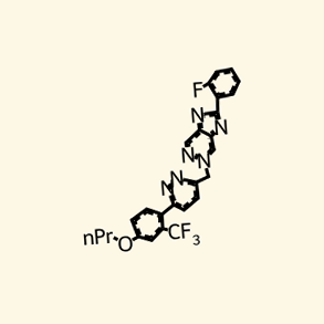 CCCOc1ccc(-c2ccc(Cn3cc4nc(-c5ccccc5F)nc-4cn3)nn2)c(C(F)(F)F)c1